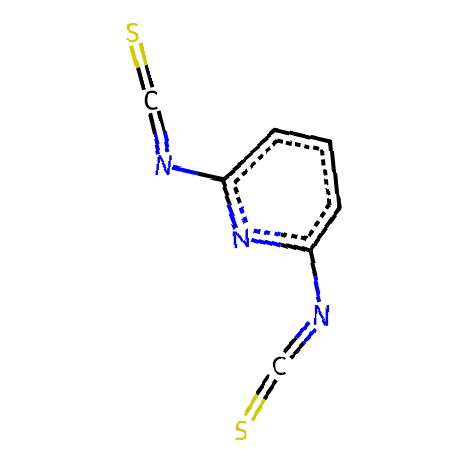 S=C=Nc1cccc(N=C=S)n1